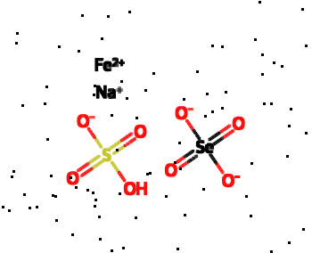 O=S(=O)([O-])O.O=[Se](=O)([O-])[O-].[Fe+2].[Na+]